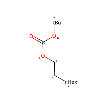 CCCCCCCCOC(=O)OC(C)(C)C